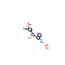 CC(C)Oc1ccc(-c2nc(-c3ccc(CNCCC(=O)O)c4ccccc34)no2)cc1C#N.Cl